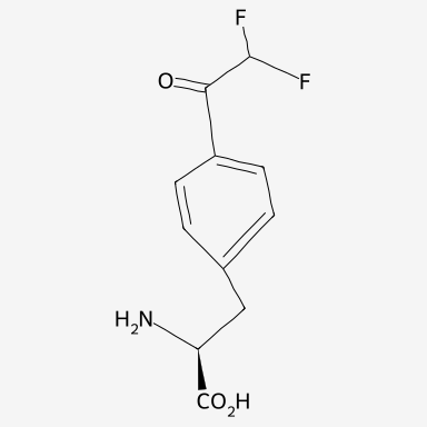 N[C@@H](Cc1ccc(C(=O)C(F)F)cc1)C(=O)O